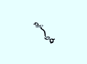 Cc1cccc(N2CCN(CCCCNC(=O)c3cccc(C)n3)CC2)c1